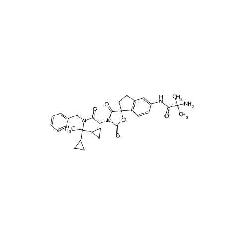 CC(C)(N)C(=O)Nc1ccc2c(c1)CCC21OC(=O)N(CC(=O)N(Cc2ccccc2)C(C)(C2CC2)C2CC2)C1=O